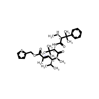 CN[C@H](C(=O)N[C@H](C(=O)N(C)[C@H](/C=C(\C)C(=O)OCc1cccs1)C(C)C)C(C)(C)C)C(C)(C)c1ccccc1